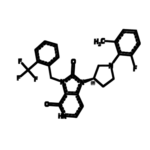 Cc1cccc(F)c1N1CC[C@@H](n2c(=O)n(Cc3ccccc3C(F)(F)F)c3c(=O)[nH]ccc32)C1